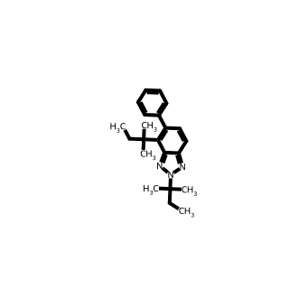 CCC(C)(C)c1c(-c2ccccc2)ccc2nn(C(C)(C)CC)nc12